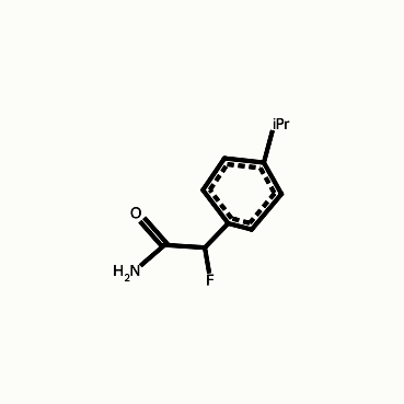 CC(C)c1ccc(C(F)C(N)=O)cc1